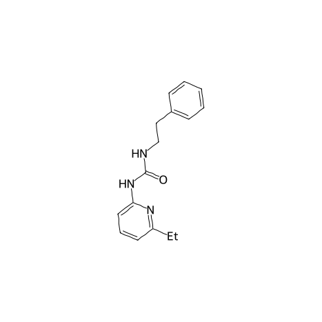 CCc1cccc(NC(=O)NCCc2ccccc2)n1